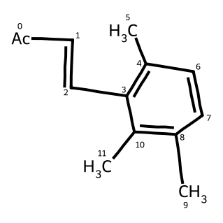 CC(=O)C=Cc1c(C)ccc(C)c1C